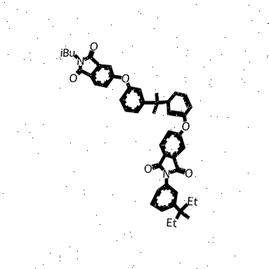 CCC(C)N1C(=O)c2ccc(Oc3cccc(C(C)(C)C4C=C(Oc5ccc6c(c5)C(=O)N(c5cccc(C(C)(CC)CC)c5)C6=O)C=CC4)c3)cc2C1=O